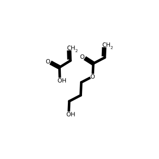 C=CC(=O)O.C=CC(=O)OCCCO